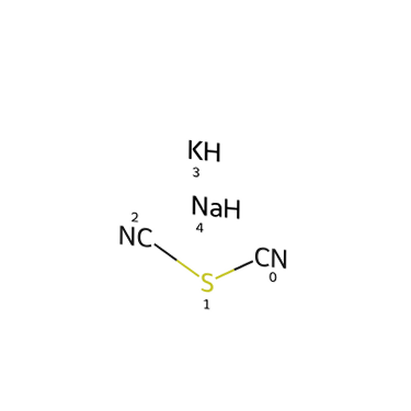 N#CSC#N.[KH].[NaH]